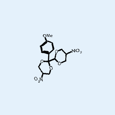 COc1ccc(C2(C3OCC([N+](=O)[O-])CO3)OCC([N+](=O)[O-])CO2)cc1